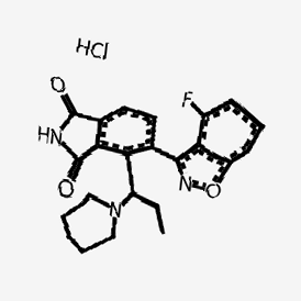 CCC(c1c(-c2noc3cccc(F)c23)ccc2c1C(=O)NC2=O)N1CCCCC1.Cl